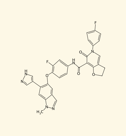 Cn1ncc2cc(Oc3ccc(NC(=O)c4c5c(cn(-c6ccc(F)cc6)c4=O)CCO5)cc3F)c(-c3cn[nH]c3)cc21